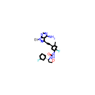 CCn1nc(C#Cc2cc(NC(=O)N3OCC[C@@H]3c3cccc(F)c3)c(F)cc2C)c2c(N)ncnc21